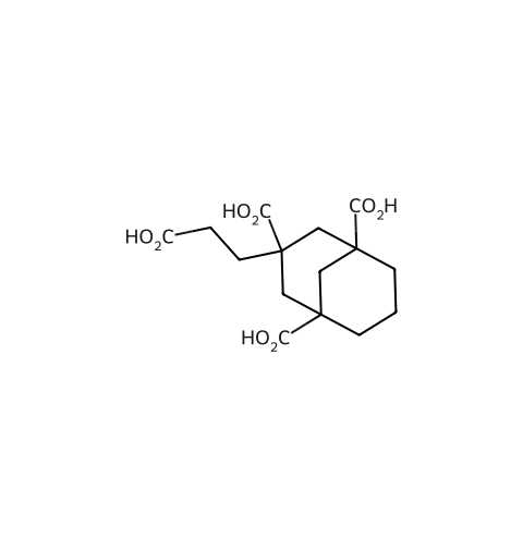 O=C(O)CCC1(C(=O)O)CC2(C(=O)O)CCCC(C(=O)O)(C2)C1